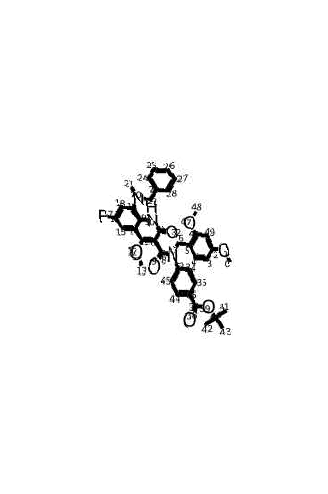 COc1ccc(CN(C(=O)c2c(OC)c3cc(F)cc(N(C)Cc4ccccc4)c3[nH]c2=O)c2ccc(C(=O)OC(C)(C)C)cc2)c(OC)c1